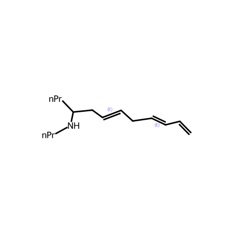 C=C/C=C/C/C=C/CC(CCC)NCCC